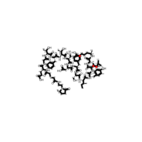 CC[C@H](C)[C@H](NC(=O)[C@H](CO)NC(=O)[C@H](Cc1ccc(O)cc1)NC(=O)[C@H](CC(=O)O)NC(=O)[C@H](CO)NC(=O)[C@@H](NC(=O)[C@H](Cc1ccccc1)NC(=O)[C@@H](NC(=O)CNC(=O)[C@H](CCC(=O)O)NC(=O)CSCC(=O)NCCN1C(=O)CC[C@H]1C)[C@@H](C)O)[C@@H](C)O)C(=O)N[C@@H](Cc1ccc(O)cc1)C(=O)N[C@@H](CCC(C)C)C(=O)N[C@@H](CC(=O)O)C(=O)N[C@H](C)CCCCN